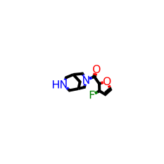 O=C(C1OC=CC1F)N1CC2CNCC(C2)C1